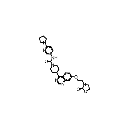 O=C(Nc1ccc(N2CCCC2)nc1)N1CCC(c2ncnc3cc(OCCN4CCOC4=O)ccc23)CC1